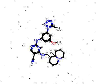 COc1cc(Nc2ncc(C#N)c(NC[C@@H]3CCCN4CCCC[C@H]34)n2)cc(-n2nnnc2C)c1